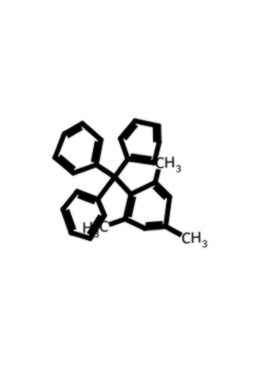 Cc1cc(C)c(C(c2ccccc2)(c2ccccc2)c2ccccc2)c(C)c1